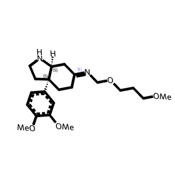 COCCCOC/N=C1\CC[C@@]2(c3ccc(OC)c(OC)c3)CCN[C@H]2C1